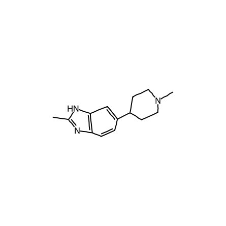 Cc1nc2ccc(C3CCN(C)CC3)cc2[nH]1